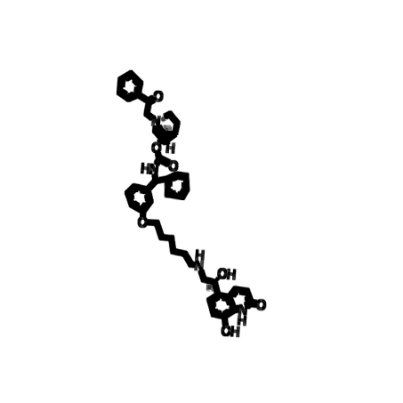 O=C(NC(c1ccccc1)c1cccc(OCCCCCCNC[C@H](O)c2ccc(O)c3[nH]c(=O)ccc23)c1)O[C@H]1C[N+]2(CC(=O)c3ccccc3)CCC1CC2